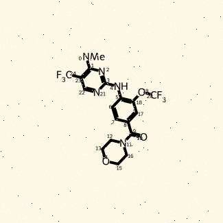 CNc1nc(Nc2ccc(C(=O)N3CCOCC3)cc2OC(F)(F)F)ncc1C(F)(F)F